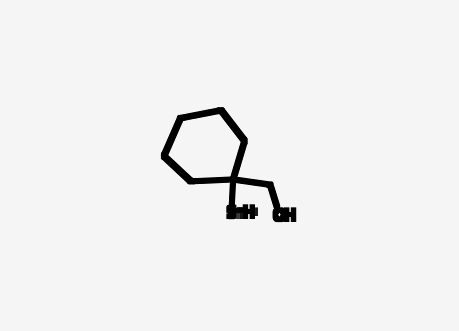 OC[C]1([SnH])CCCCC1